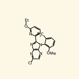 CCOc1cccc(-c2nc3nc(Cl)cnc3n2-c2c(OC)cccc2C(F)(F)F)n1